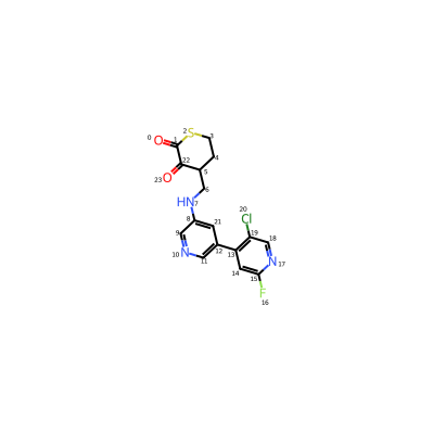 O=C1SCCC(CNc2cncc(-c3cc(F)ncc3Cl)c2)C1=O